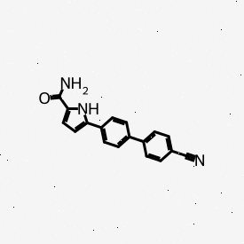 N#Cc1ccc(-c2ccc(-c3ccc(C(N)=O)[nH]3)cc2)cc1